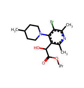 Cc1nc(C)c(C(O)C(=O)OC(C)C)c(N2CCC(C)CC2)c1Br